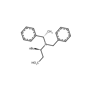 CCCC[C@H](CC(=O)O)N(Cc1ccccc1)[C@@H](C)c1ccccc1